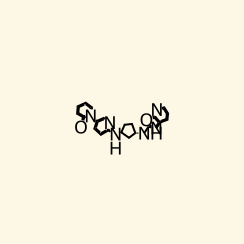 O=c1ccccn1-c1ccc(N[C@H]2CC[C@H](Nc3nc4cccnc4o3)C2)nc1